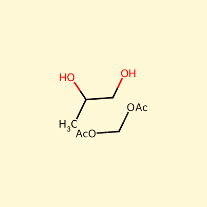 CC(=O)OCOC(C)=O.CC(O)CO